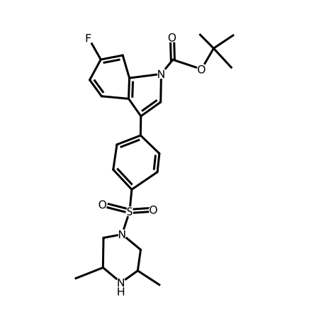 CC1CN(S(=O)(=O)c2ccc(-c3cn(C(=O)OC(C)(C)C)c4cc(F)ccc34)cc2)CC(C)N1